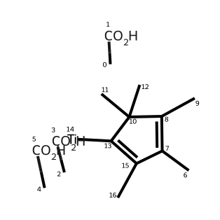 CC(=O)O.CC(=O)O.CC(=O)O.CC1=C(C)C(C)(C)[C]([Ti])=C1C